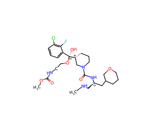 CNC[C@H](CC1CCCOC1)NC(=O)N1CCC[C@@H]([C@@](O)(OCCNC(=O)OC)c2cccc(Cl)c2F)C1